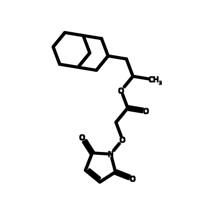 CC(CC1CC2CCCC(C2)C1)OC(=O)CON1C(=O)C=CC1=O